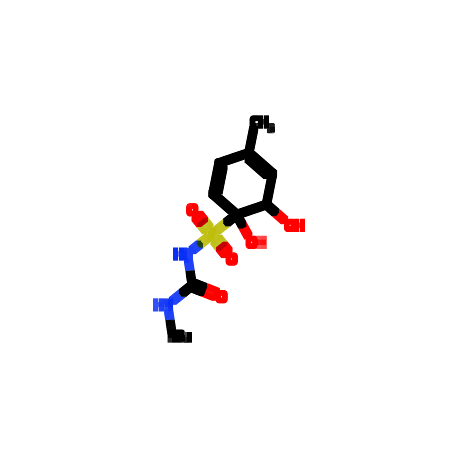 CCCCNC(=O)NS(=O)(=O)C1(O)C=CC(C)=CC1O